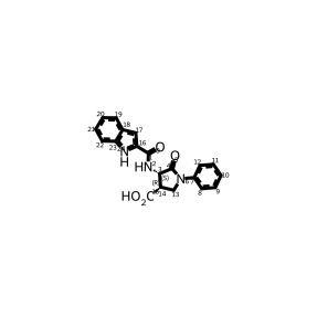 O=C(N[C@@H]1C(=O)N(c2ccccc2)C[C@H]1C(=O)O)c1cc2ccccc2[nH]1